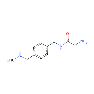 NCC(=O)NCc1ccc(CNC=O)cc1